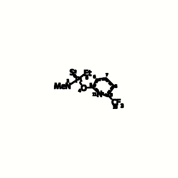 CCP(=S)(NC)Oc1cccc(C(F)(F)F)n1